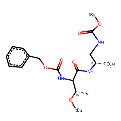 C[C@H](OC(C)(C)C)C(NC(=O)OCc1ccccc1)C(=O)N[C@H](CNC(=O)OC(C)(C)C)C(=O)O